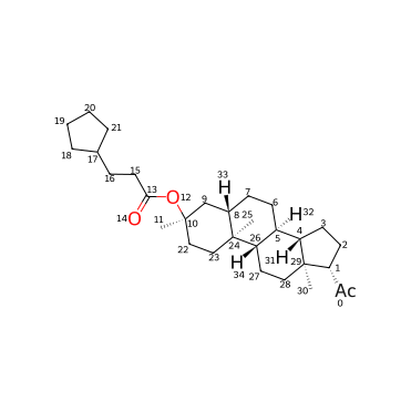 CC(=O)[C@H]1CC[C@H]2[C@@H]3CC[C@H]4C[C@](C)(OC(=O)CCC5CCCC5)CC[C@]4(C)[C@H]3CC[C@]12C